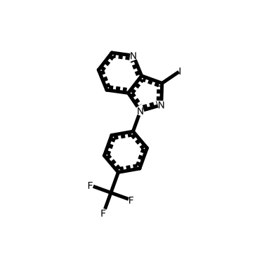 FC(F)(F)c1ccc(-n2nc(I)c3ncccc32)cc1